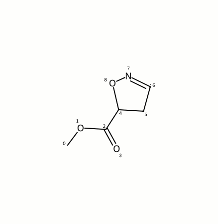 COC(=O)C1C[C]=NO1